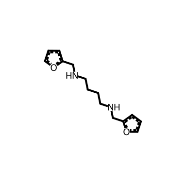 c1coc(CNCCCCNCc2ccco2)c1